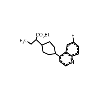 CCOC(=O)C(CC(F)(F)F)C1CCC(c2ccnc3ccc(F)cc23)CC1